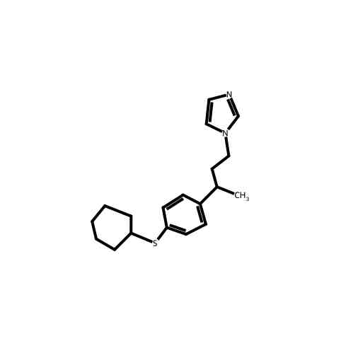 CC(CCn1ccnc1)c1ccc(SC2CCCCC2)cc1